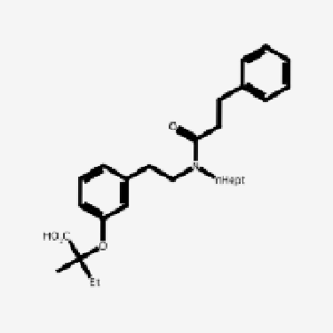 CCCCCCCN(CCc1cccc(OC(C)(CC)C(=O)O)c1)C(=O)CCc1ccccc1